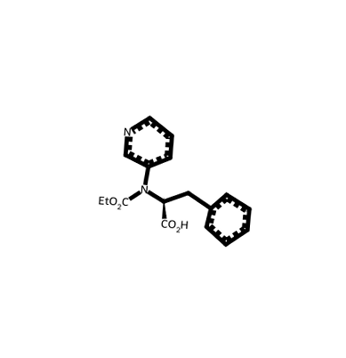 CCOC(=O)N(c1cccnc1)[C@@H](Cc1ccccc1)C(=O)O